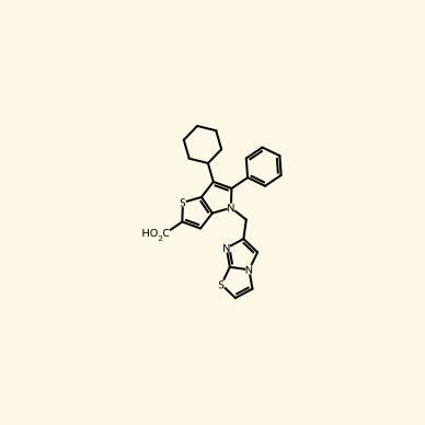 O=C(O)c1cc2c(s1)c(C1CCCCC1)c(-c1ccccc1)n2Cc1cn2ccsc2n1